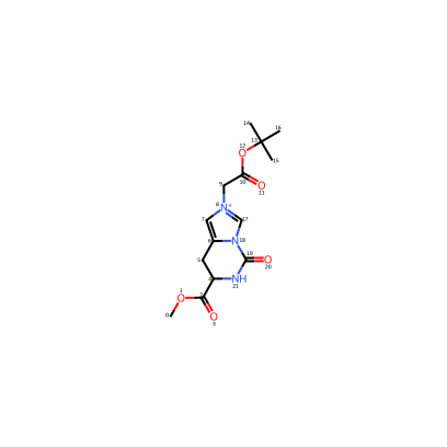 COC(=O)C1Cc2c[n+](CC(=O)OC(C)(C)C)cn2C(=O)N1